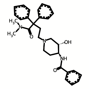 CN(C)C(=O)C(CCN1CC[C@H](NC(=O)c2ccccc2)[C@@H](O)C1)(c1ccccc1)c1ccccc1